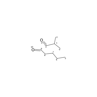 CC(C)[C]=O.CCCCC=O